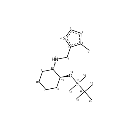 Cc1ccsc1CN[C@H]1CCCC[C@@H]1O[Si](C)(C)C(C)(C)C